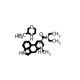 CC1COCCN1.CCN(CC)C(=O)[C@@H]1C=C2c3cccc4[nH]cc(c34)C[C@H]2N(C)C1.Cl